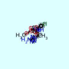 CCOCCOC(=O)C(C)(C)NP(=O)(CO[C@H](C)Cn1cnc2c(N)ncnc21)NC(=O)c1ccc(Cl)cc1